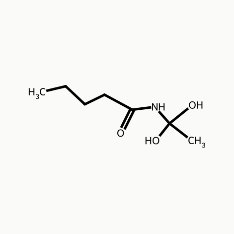 CCCCC(=O)NC(C)(O)O